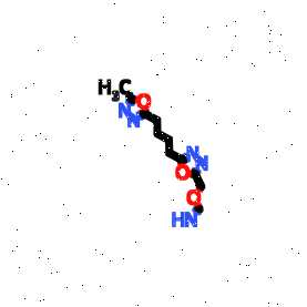 Cc1nnc(CCCCc2nnc(COC=N)o2)o1